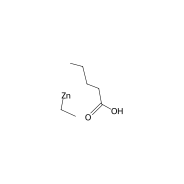 CCCCC(=O)O.C[CH2][Zn]